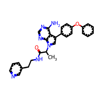 CC(C(=O)NCCc1cccnc1)n1cc(-c2ccc(Oc3ccccc3)cc2)c2c(N)ncnc21